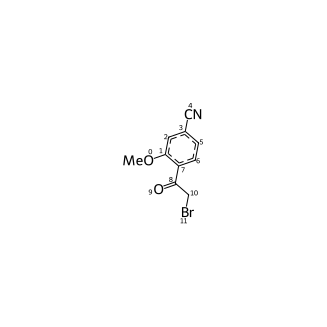 COc1cc(C#N)ccc1C(=O)CBr